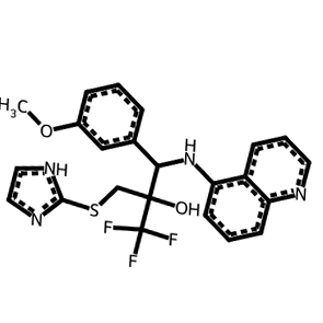 COc1cccc(C(Nc2cccc3ncccc23)C(O)(CSc2ncc[nH]2)C(F)(F)F)c1